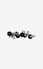 CCc1cc(-c2ccc3c(NS(=O)(=O)c4ccccc4F)ncnn23)cc2cnc(NC3CCCNC3)nc12